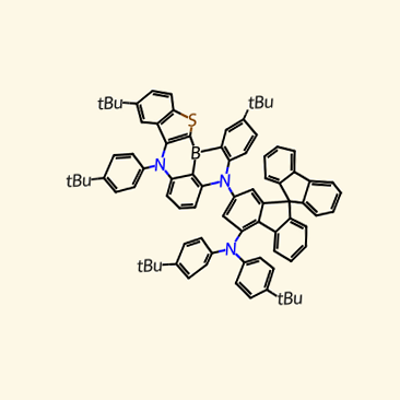 CC(C)(C)c1ccc(N(c2ccc(C(C)(C)C)cc2)c2cc(N3c4ccc(C(C)(C)C)cc4B4c5sc6ccc(C(C)(C)C)cc6c5N(c5ccc(C(C)(C)C)cc5)c5cccc3c54)cc3c2-c2ccccc2C32c3ccccc3-c3ccccc32)cc1